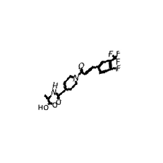 CC(NC(=O)C1CCN(C(=O)C=Cc2ccc(F)c(C(F)(F)F)c2)CC1)C(=O)O